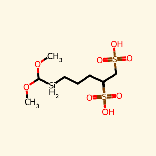 COC(OC)[SiH2]CCCC(CS(=O)(=O)O)S(=O)(=O)O